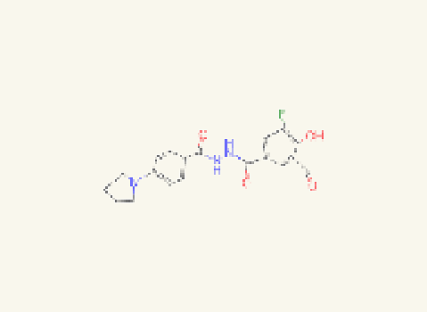 O=Cc1cc(C(=O)NNC(=O)c2ccc(N3CCCC3)cc2)cc(F)c1O